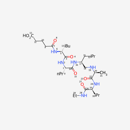 CCC[C@H](NC(=O)[C@@H](NC(=O)CCCC(=O)O)[C@@H](C)CC)C(=O)N[C@H](CN[C@@H](C)C(=O)N[C@H](C(=O)NCC)C(C)C)CC(C)C